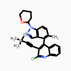 Cc1ccc2c(cnn2C2CCCCO2)c1-c1c(C#C[Si](C)(C)C)c(Cl)nc2ccccc12